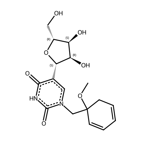 COC1(Cn2cc([C@@H]3O[C@H](CO)[C@@H](O)[C@H]3O)c(=O)[nH]c2=O)C=CC=CC1